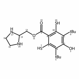 CC(C)(C)c1c(O)c(C(C)(C)C)c(S)c(C(=O)OCC2NCCN2)c1S